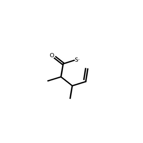 C=CC(C)C(C)C(=O)[S]